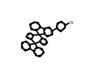 N#Cc1ccc(-c2ccc3c(c2)-c2ccccc2C32c3ccccc3C3(c4ccccc4-c4ccccc43)c3ccccc32)cc1